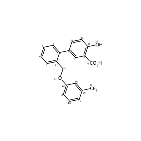 O=C(O)c1cc(-c2ccccc2COc2cccc(C(F)(F)F)c2)ccc1O